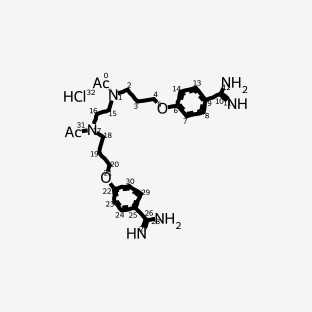 CC(=O)N(CCCOc1ccc(C(=N)N)cc1)CCN(CCCOc1ccc(C(=N)N)cc1)C(C)=O.Cl